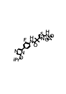 CC(C)Oc1cncc(-c2ccc(NC(=O)C(C)(C)c3csc(NS(C)(=O)=O)n3)c(F)c2)n1